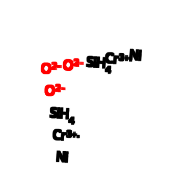 [Cr+3].[Cr+3].[Ni].[Ni].[O-2].[O-2].[O-2].[SiH4].[SiH4]